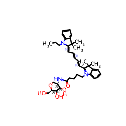 CCCN1/C(=C/C=C/C=C/C2=[N+](CCCCC(=O)N[C@H]3CO[C@H](CO)[C@H](O)[C@@H]3O)c3ccccc3C2(C)C)C(C)(C)c2ccccc21